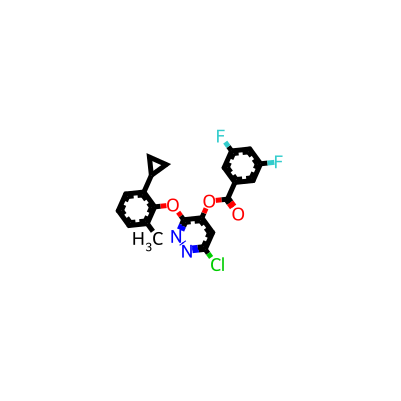 Cc1cccc(C2CC2)c1Oc1nnc(Cl)cc1OC(=O)c1cc(F)cc(F)c1